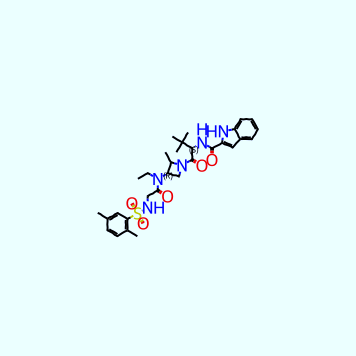 CCN(C(=O)CNS(=O)(=O)c1cc(C)ccc1C)[C@@H]1CN(C(=O)[C@@H](NC(=O)c2cc3ccccc3[nH]2)C(C)(C)C)C1C